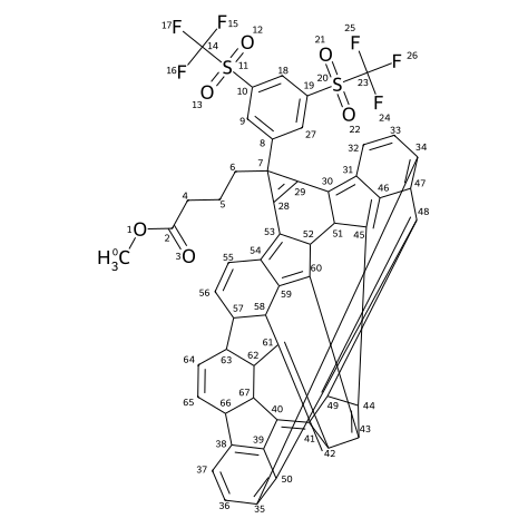 COC(=O)CCCC1(c2cc(S(=O)(=O)C(F)(F)F)cc(S(=O)(=O)C(F)(F)F)c2)C2=C1C1=c3ccc4c5ccc6c7c8c9c%10c%11c%12c(c3c4c(c%129)c75)C1C1C2=C2C=CC3C(C2=C%111)C=%10C1C3C=CC6C81